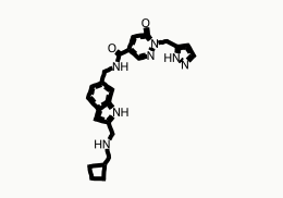 O=C(NCc1ccc2cc(CNCC3CCC3)[nH]c2c1)c1cnn(Cc2ccn[nH]2)c(=O)c1